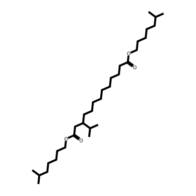 CC(C)CCCCCOC(=O)CCCCCCCCCC(CC(=O)OCCCCCC(C)C)C(C)C